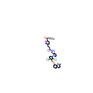 CNC(=O)c1ccc(/C=C/C(=O)NCc2cccn2-c2ccc(Cl)c(COc3cccc4ccc(C)nc34)c2Cl)cn1